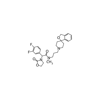 CN(CCCN1CCC2(CC1)OCc1ccccc12)C(=O)C(c1ccc(F)c(F)c1)N1CCOC1=O